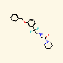 O=C(CNCC(F)(F)c1cccc(OCc2ccccc2)c1)N1CCCCC1